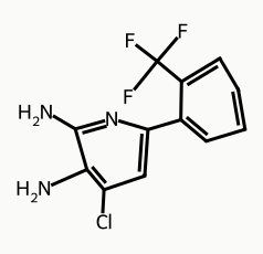 Nc1nc(-c2ccccc2C(F)(F)F)cc(Cl)c1N